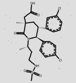 C[C@@H](CCNS(C)(=O)=O)N1C(=O)[C@@](C)(CC(=O)O)C[C@H](c2cccc(Cl)c2)[C@H]1c1ccc(Cl)cc1